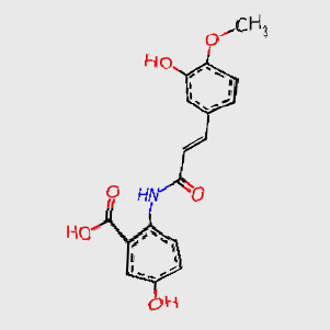 COc1ccc(/C=C/C(=O)Nc2ccc(O)cc2C(=O)O)cc1O